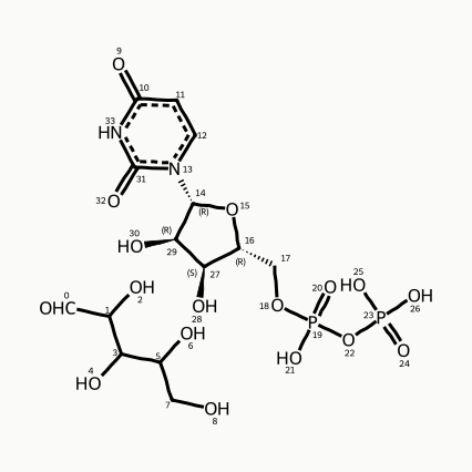 O=CC(O)C(O)C(O)CO.O=c1ccn([C@@H]2O[C@H](COP(=O)(O)OP(=O)(O)O)[C@@H](O)[C@H]2O)c(=O)[nH]1